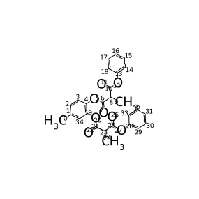 Cc1ccc(OC(=O)C(C)C(=O)Oc2ccccc2)c(OC(=O)C(C)C(=O)Oc2ccccc2)c1